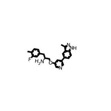 Cc1ccc(C[C@H](N)COc2cncc(-c3ccc4[nH]nc(C)c4c3)c2)cc1F